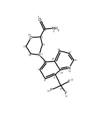 NC(=O)C1CN(c2ccc(C(F)(F)F)c3ncccc23)CCO1